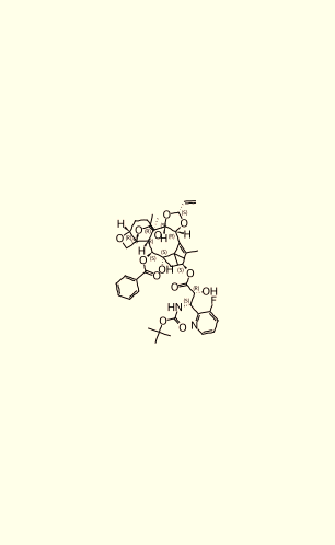 C=C[C@@H]1O[C@@H]2C3=C(C)[C@@H](OC(=O)[C@H](O)[C@@H](NC(=O)OC(C)(C)C)c4ncccc4F)C[C@@](O)([C@@H](OC(=O)c4ccccc4)[C@H]4[C@@](C)(CC[C@H]5OC[C@]54OC(C)=O)[C@@H]2O1)C3(C)C